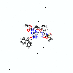 C=CC1CC1(NC(=O)C1CC(NC(=O)OCC2c3ccccc3-c3ccccc32)CN1C(=O)C(NC(=O)OC(C)(C)C)C(C)(C)C)C(=O)NS(=O)(=O)C1CC1